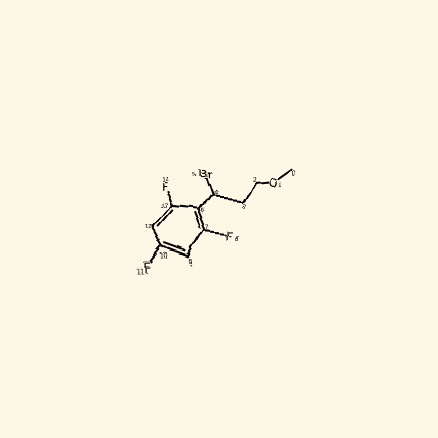 COCCC(Br)c1c(F)cc(F)cc1F